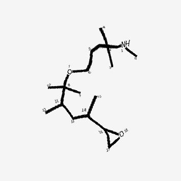 CNC(C)(C)CCOC(C)(C)C(C)CC(C)C1CO1